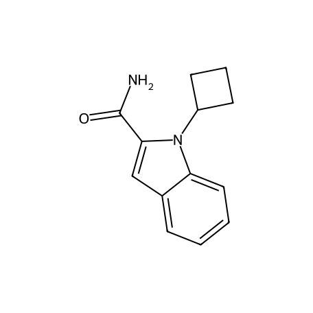 NC(=O)c1cc2ccccc2n1C1CCC1